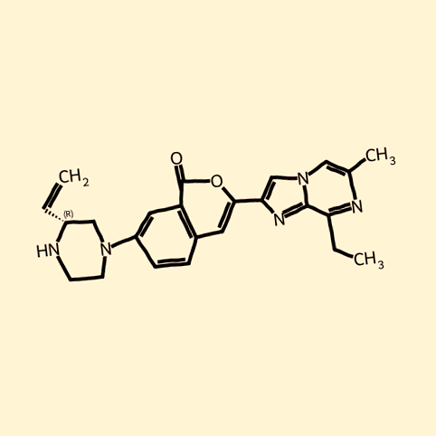 C=C[C@@H]1CN(c2ccc3cc(-c4cn5cc(C)nc(CC)c5n4)oc(=O)c3c2)CCN1